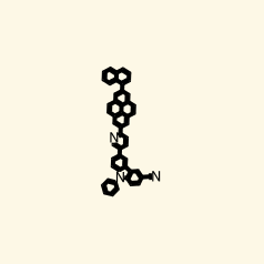 N#Cc1ccc2c(c1)c1cc(-c3ccc(-c4cc5ccc6cc(-c7cccc8ccccc78)cc7ccc(c4)c5c67)nc3)ccc1n2-c1ccccc1